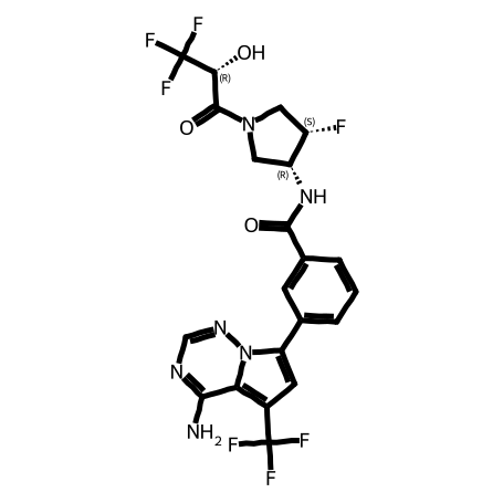 Nc1ncnn2c(-c3cccc(C(=O)N[C@@H]4CN(C(=O)[C@@H](O)C(F)(F)F)C[C@@H]4F)c3)cc(C(F)(F)F)c12